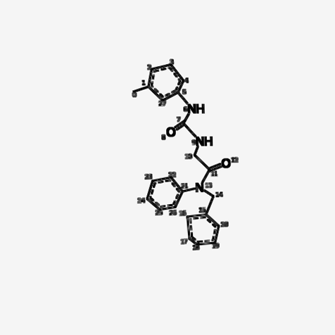 Cc1cccc(NC(=O)NCC(=O)N(Cc2ccccc2)c2ccccc2)c1